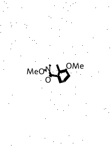 COc1cccc(C(=O)N(C)OC)c1C